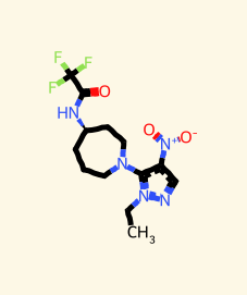 CCn1ncc([N+](=O)[O-])c1N1CCC[C@@H](NC(=O)C(F)(F)F)CC1